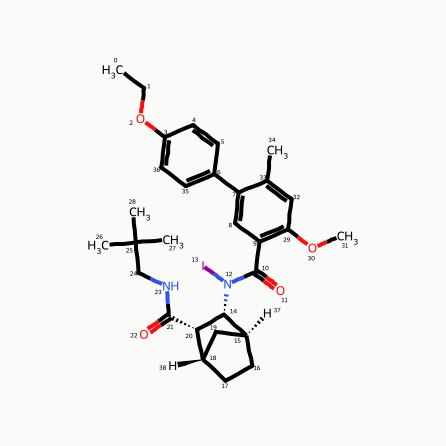 CCOc1ccc(-c2cc(C(=O)N(I)[C@@H]3[C@H]4CC[C@@H](C4)[C@@H]3C(=O)NCC(C)(C)C)c(OC)cc2C)cc1